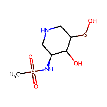 CS(=O)(=O)N[C@H]1CNCC(SO)C1O